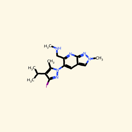 CNCc1nc2nn(C)cc2cc1-n1nc(I)c(C(C)C)c1C